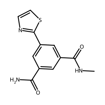 CNC(=O)c1cc(C(N)=O)cc(-c2nccs2)c1